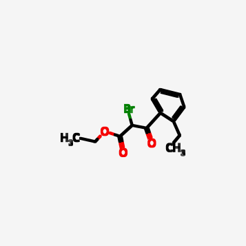 CCOC(=O)C(Br)C(=O)c1ccccc1CC